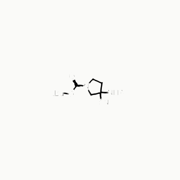 CC(=O)NC1(C#N)CCN(C(=O)OC(C)(C)C)C1